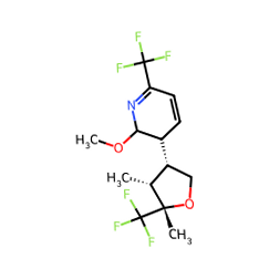 COC1N=C(C(F)(F)F)C=CC1[C@@H]1CO[C@](C)(C(F)(F)F)[C@@H]1C